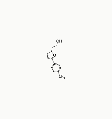 OCCc1ccc(-c2ccc(C(F)(F)F)cc2)o1